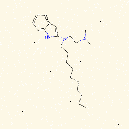 CCCCCCCCCCN(CCN(C)C)c1cc2ccccc2[nH]1